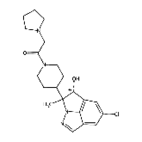 CC1(C2CCN(C(=O)CN3CCCC3)CC2)[C@H](O)c2cc(Cl)cc3cnn1c23